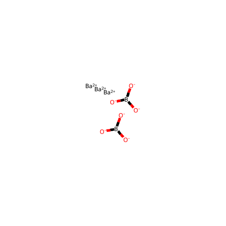 [Ba+2].[Ba+2].[Ba+2].[O-]B([O-])[O-].[O-]B([O-])[O-]